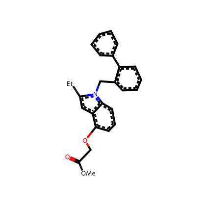 CCc1cc2c(OCC(=O)OC)cccc2n1Cc1ccccc1-c1ccccc1